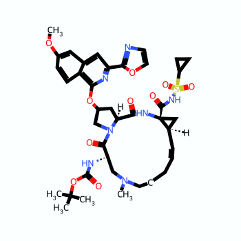 COc1ccc2c(OC3C[C@H]4C(=O)N[C@]5(C(=O)NS(=O)(=O)C6CC6)C[C@H]5/C=C\CCCN(C)C[C@H](NC(=O)OC(C)(C)C)C(=O)N4C3)nc(-c3ncco3)cc2c1